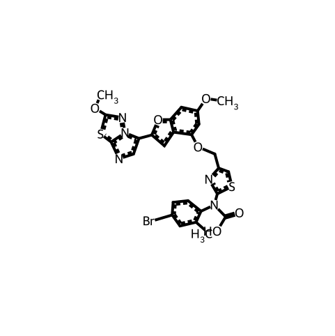 COc1cc(OCc2csc(N(C(=O)O)c3ccc(Br)cc3C)n2)c2cc(-c3cnc4sc(OC)nn34)oc2c1